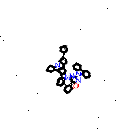 c1ccc(-c2ccc3c4cc5c(c6ccccc6n5-c5nc(-n6c7ccccc7c7ccccc76)nc6oc7ccccc7c56)c5c6ccccc6n(c3c2)c45)cc1